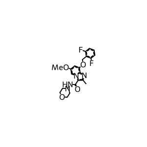 COc1cc(OCc2c(F)cccc2F)c2nc(C)c(C(=O)NN3CCOCC3)n2c1